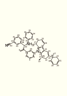 C=C(c1cccc(-n2c3c(c4c2[C@H](C)CC(C2(C)C=CC=CC2)=C4)C=CCC3C)c1)C(Nc1ccccc1)c1cccc(C#N)c1